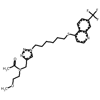 COCCN(Cc1cn(CCCCCCSc2ccnc3cc(C(F)(F)F)ccc23)nn1)C(C)=O